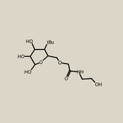 CC(C)(C)C1C(COCC(=O)NCCO)OC(O)C(O)C1O